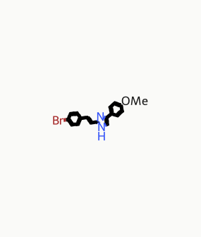 COc1ccc(-c2c[nH]c(C=Cc3ccc(Br)cc3)n2)cc1